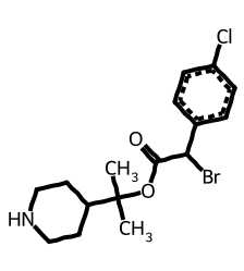 CC(C)(OC(=O)C(Br)c1ccc(Cl)cc1)C1CCNCC1